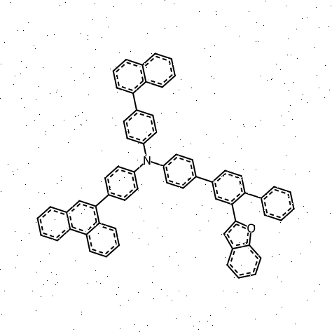 c1ccc(-c2ccc(-c3ccc(N(c4ccc(-c5cccc6ccccc56)cc4)c4ccc(-c5cc6ccccc6c6ccccc56)cc4)cc3)cc2-c2cc3ccccc3o2)cc1